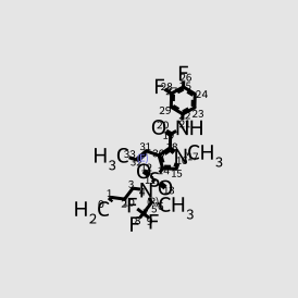 C=CCCN([C@H](C)C(F)(F)F)S(=O)(=O)c1cn(C)c(C(=O)Nc2ccc(F)c(F)c2)c1/C=C/C